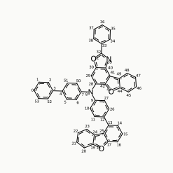 c1ccc(-c2ccc(N(c3ccc(-c4cccc5oc6ccccc6c45)cc3)c3cc4oc(-c5ccccc5)nc4c4c3oc3ccccc34)cc2)cc1